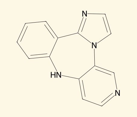 c1ccc2c(c1)Nc1ccncc1-n1ccnc1-2